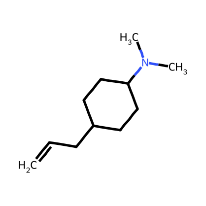 C=CCC1CCC(N(C)C)CC1